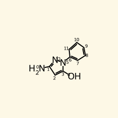 Nc1cc(O)n(-c2ccccc2)n1